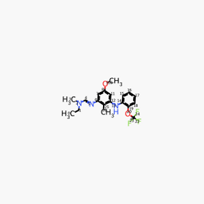 CCN(C)C=Nc1cc(OC)cc(Nc2ccccc2OC(F)(F)F)c1C